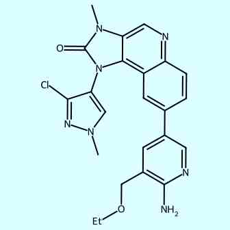 CCOCc1cc(-c2ccc3ncc4c(c3c2)n(-c2cn(C)nc2Cl)c(=O)n4C)cnc1N